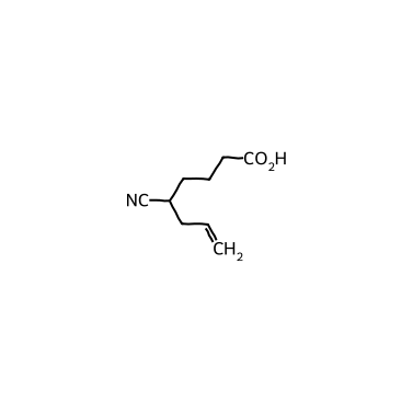 C=CCC(C#N)CCCC(=O)O